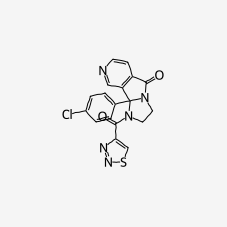 O=C(c1csnn1)N1CCN2C(=O)c3ccncc3C12c1ccc(Cl)cc1